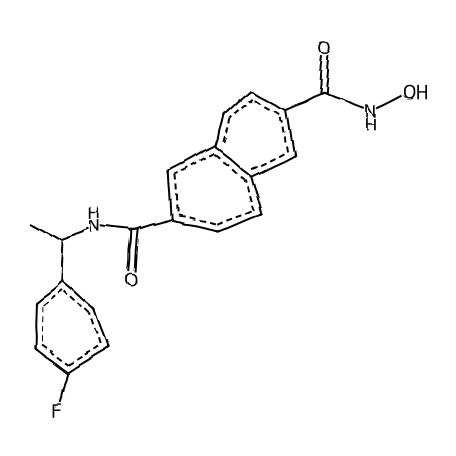 CC(NC(=O)c1ccc2cc(C(=O)NO)ccc2c1)c1ccc(F)cc1